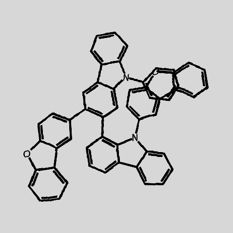 c1ccc(-n2c3ccccc3c3cc(-c4ccc5oc6ccccc6c5c4)c(-c4cccc5c6ccccc6n(-c6ccc7oc8ccccc8c7c6)c45)cc32)cc1